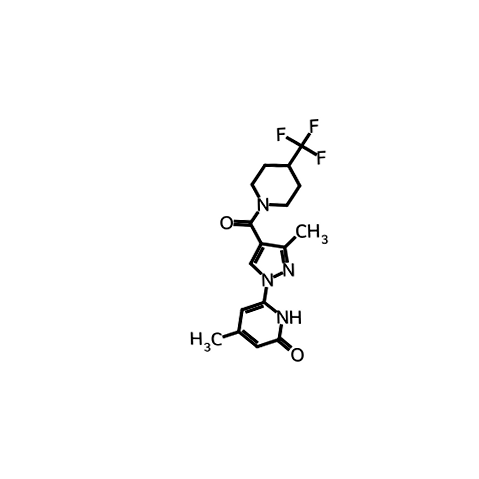 Cc1cc(-n2cc(C(=O)N3CCC(C(F)(F)F)CC3)c(C)n2)[nH]c(=O)c1